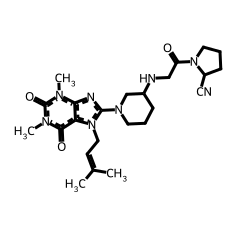 CC(C)=CCn1c(N2CCCC(NCC(=O)N3CCCC3C#N)C2)nc2c1c(=O)n(C)c(=O)n2C